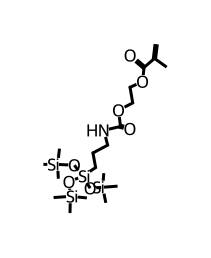 C=C(C)C(=O)OCCOC(=O)NCCC[Si](O[Si](C)(C)C)(O[Si](C)(C)C)O[Si](C)(C)C